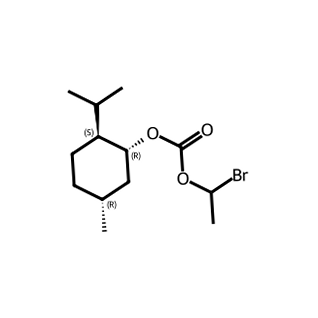 CC(Br)OC(=O)O[C@@H]1C[C@H](C)CC[C@H]1C(C)C